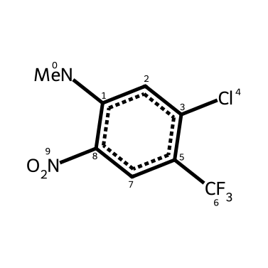 CNc1cc(Cl)c(C(F)(F)F)cc1[N+](=O)[O-]